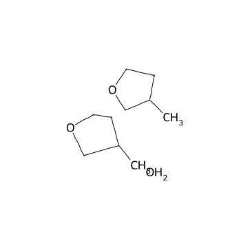 CC1CCOC1.CC1CCOC1.O